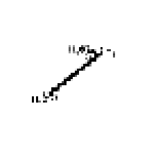 CCC(CCCCCCCCCCCCCCC(=O)OC)CC(=O)OC